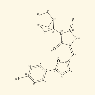 O=C1/C(=C\c2ccc(-c3ccc(F)cc3)o2)SC(=S)N1C1CC2CCC1C2